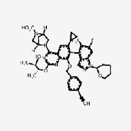 C#Cc1ccc(COc2c(-c3c(C)c(F)cc4c3cnn4C3CCCCO3)c(C3CC3)cc3c(N4C[C@@H]5C[C@H]4CN5C(=O)O)nc(O[C@H](C)[C@@H](C)O)nc23)cc1